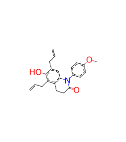 C=CCc1cc2c(c(CC=C)c1O)CCC(=O)N2c1ccc(OC)cc1